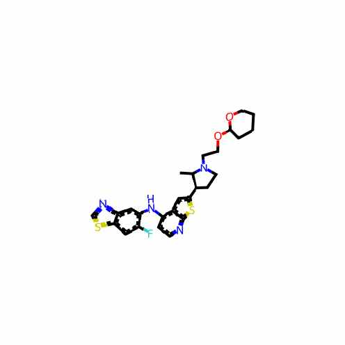 CC1C(c2cc3c(Nc4cc5ncsc5cc4F)ccnc3s2)CCN1CCOC1CCCCO1